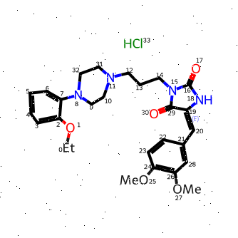 CCOc1ccccc1N1CCN(CCCN2C(=O)N/C(=C/c3ccc(OC)c(OC)c3)C2=O)CC1.Cl